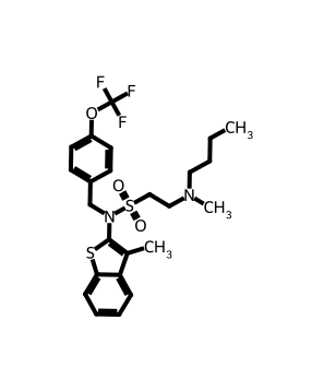 CCCCN(C)CCS(=O)(=O)N(Cc1ccc(OC(F)(F)F)cc1)c1sc2ccccc2c1C